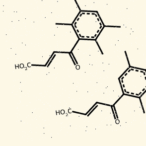 Cc1cc(C)c(C)c(C(=O)C=CC(=O)O)c1C.Cc1ccc(C)c(C(=O)C=CC(=O)O)c1